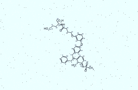 CC1C(N(Cc2ccccc2)Cc2ccc(Oc3cccc(OCCCC(=O)N[C@@H](CCC(=O)O)C(=O)O)c3)cc2)=CC=CC1=NS(C)(=O)=O